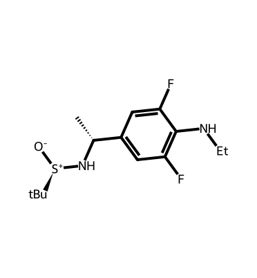 CCNc1c(F)cc([C@@H](C)N[S@+]([O-])C(C)(C)C)cc1F